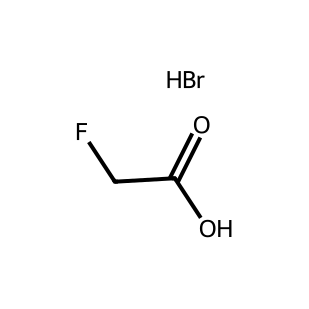 Br.O=C(O)CF